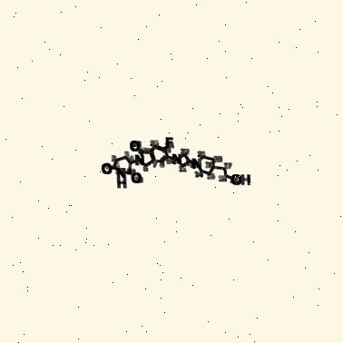 O=C1CCC(N2Cc3cc(N4CC(N5CCC(CCO)CC5)C4)c(F)cc3C2=O)C(=O)N1